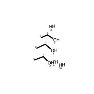 CCO.CCO.CCO.F.[HH].[HH]